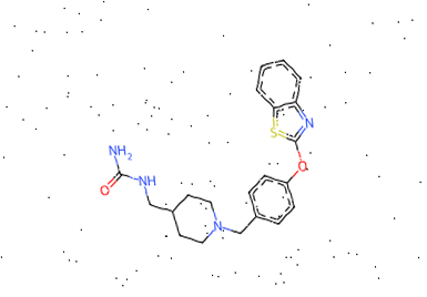 NC(=O)NCC1CCN(Cc2ccc(Oc3nc4ccccc4s3)cc2)CC1